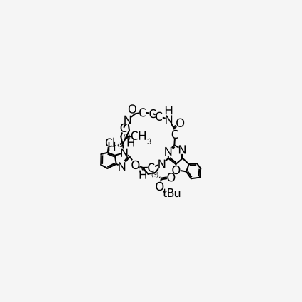 C[C@H]1CN2CC[C@@H]1n1c(nc3cccc(Cl)c31)O[C@H]1C[C@@H](C(=O)OC(C)(C)C)N(C1)c1nc(nc3c1oc1ccccc13)CC(=O)NCCCC2=O